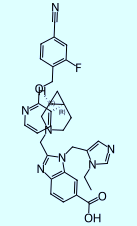 CCn1cncc1Cn1c(CN2CC[C@]3(c4cccnc4OCc4ccc(C#N)cc4F)C[C@@H]3C2)nc2ccc(C(=O)O)cc21